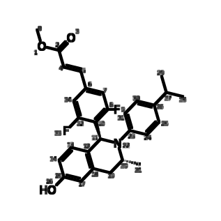 COC(=O)/C=C/c1cc(F)c([C@@H]2c3ccc(O)cc3C[C@@H](C)N2c2ccc(C(C)C)cc2)c(F)c1